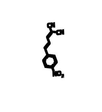 N#CC(C#N)=C/C=C/c1ccc([N+](=O)[O-])cc1